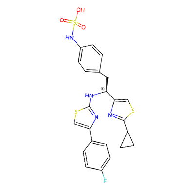 O=S(=O)(O)Nc1ccc(C[C@H](Nc2nc(-c3ccc(F)cc3)cs2)c2csc(C3CC3)n2)cc1